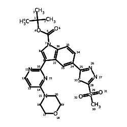 CC(C)(C)OC(=O)n1cc(-c2nccc(N3CCOCC3)n2)c2cc(-c3nnc(S(C)(=O)=O)s3)ccc21